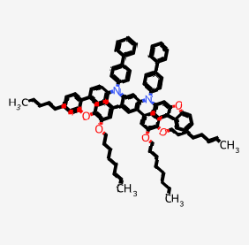 CCCCCCCCOc1ccc(-c2cc(-c3ccc(OCCCCCCCC)c(OCCCCCCCC)c3)c(N(c3ccc(-c4ccccc4)cc3)c3ccc4c(c3)oc3ccccc34)cc2N(c2ccc(-c3ccccc3)cc2)c2ccc(-c3ccccc3)cc2)cc1OCCCCCCCC